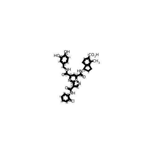 Cc1c(C(=O)O)ccc2c1CC[C@@H]2NC(=O)c1cc(C(=O)NCc2ccc(O)c(O)c2)nc2c(C(=O)Nc3ccccc3Cl)cnn12